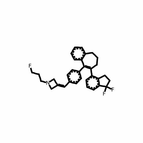 FCCCN1CC(=Cc2ccc(C3=C(c4cccc5c4CCC5(F)F)CCCc4ccccc43)cc2)C1